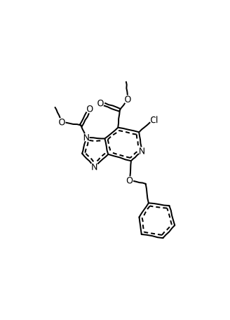 COC(=O)c1c(Cl)nc(OCc2ccccc2)c2ncn(C(=O)OC)c12